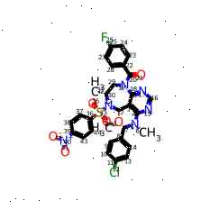 CO[C@H]1c2c(N(C)Cc3ccc(Cl)cc3)ncnc2N(C(=O)c2ccc(F)cc2)C[C@@H](C)N1S(=O)(=O)c1ccc([N+](=O)[O-])cc1